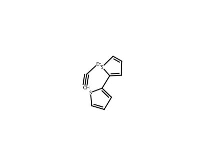 C#CCC.c1csc(-c2cccs2)c1